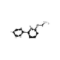 CCOc1cccc(-c2ccccc2)n1